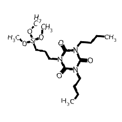 CCCCn1c(=O)n(CCCC)c(=O)n(CCC[Si](OC)(OC)OC)c1=O